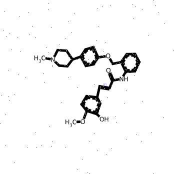 COc1ccc(/C=C/C(=O)Nc2ccccc2COc2ccc(C3CCN(C)CC3)cc2)cc1O